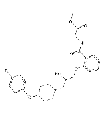 COC(=O)CNC(=O)c1ccccc1OCC(O)CN1CCC(Oc2ccc(F)cc2)CC1